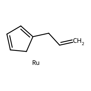 C=CCC1=CC=CC1.[Ru]